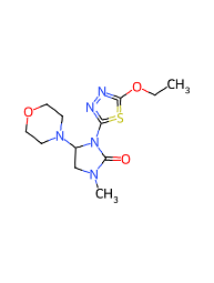 CCOc1nnc(N2C(=O)N(C)CC2N2CCOCC2)s1